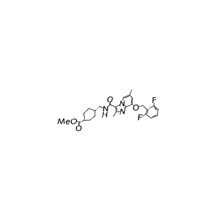 COC(=O)C1CCC(CNC(=O)c2c(C)nc3c(OCc4c(F)cccc4F)cc(C)cn23)CC1